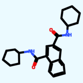 O=C(NC1CCCCC1)c1cc(C(=O)NC2CCCCC2)c2ccccc2c1